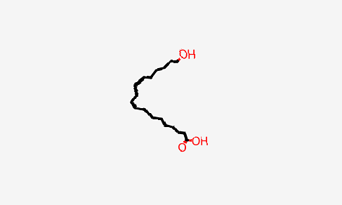 O=C(O)CCCCCCC/C=C\C/C=C\CCCCCO